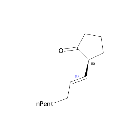 CCCCCC/C=C/[C@@H]1CCCC1=O